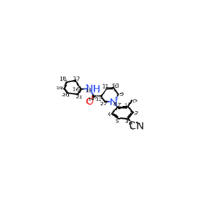 Cc1cc(C#N)ccc1N1CCCC(C(=O)NC2CCCCC2)C1